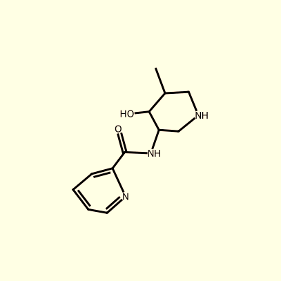 CC1CNCC(NC(=O)c2ccccn2)C1O